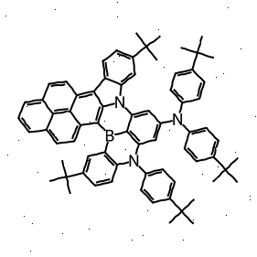 CC(C)(C)c1ccc(N(c2ccc(C(C)(C)C)cc2)c2cc3c4c(c2)-n2c5cc(C(C)(C)C)ccc5c5c6ccc7cccc8ccc(c(c52)B4c2cc(C(C)(C)C)ccc2N3c2ccc(C(C)(C)C)cc2)c6c87)cc1